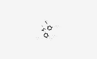 COc1ccc([C@H]2[C@@H](CO)C(=O)N2c2cc(OC)c(OC)c(OC)c2)c(OCCCl)c1